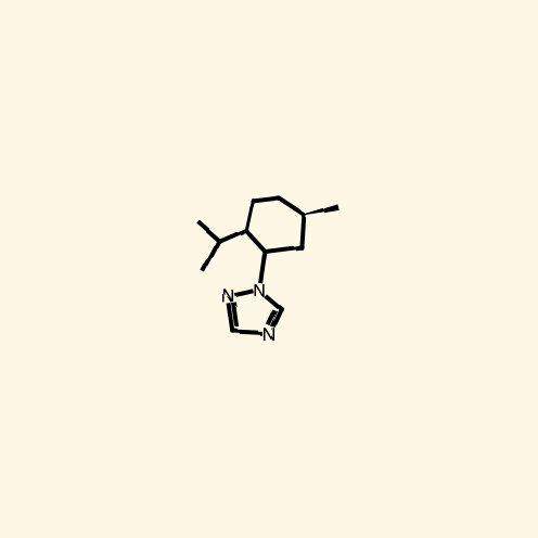 CC(C)C1CC[C@@H](C)CC1n1cncn1